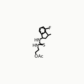 CC(=O)OCCNC(=S)NC1CC(C)c2c(F)cccc21